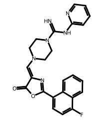 N=C(Nc1ccccn1)N1CCN(C=C2N=C(c3ccc(F)c4ccccc34)OC2=O)CC1